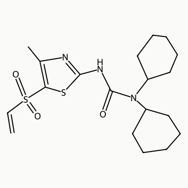 C=CS(=O)(=O)c1sc(NC(=O)N(C2CCCCC2)C2CCCCC2)nc1C